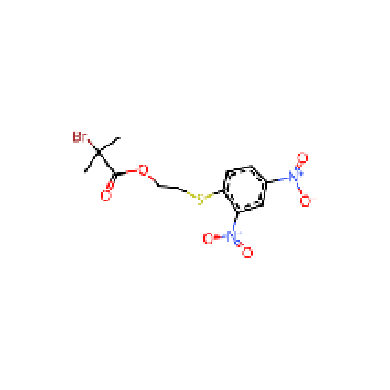 CC(C)(Br)C(=O)OCCSc1ccc([N+](=O)[O-])cc1[N+](=O)[O-]